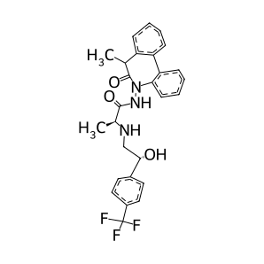 CC1C(=O)N(NC(=O)[C@H](C)NC[C@H](O)c2ccc(C(F)(F)F)cc2)c2ccccc2-c2ccccc21